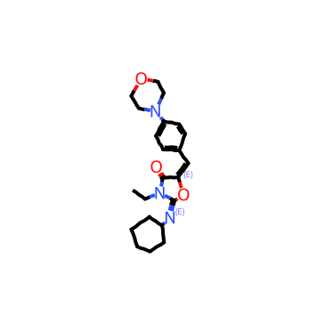 CCN1C(=O)/C(=C\c2ccc(N3CCOCC3)cc2)O/C1=N/C1CCCCC1